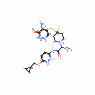 C[C@@H](C(=O)Nc1ccc(OCC2CC2)nn1)N1CCC(F)(F)[C@@H](c2cc(N)c(=O)[nH]n2)C1